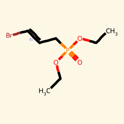 CCOP(=O)(C/C=C/Br)OCC